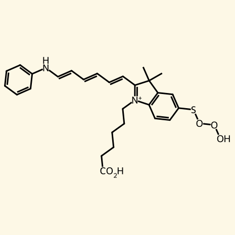 CC1(C)C(/C=C/C=C/C=C/Nc2ccccc2)=[N+](CCCCCC(=O)O)c2ccc(SOOO)cc21